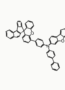 c1ccc(-c2ccc(N(c3ccc(-c4cccc5c4Oc4ccccc4C54c5ccccc5-c5c4ccc4ccccc54)cc3)c3ccc4c(c3)oc3ccccc34)cc2)cc1